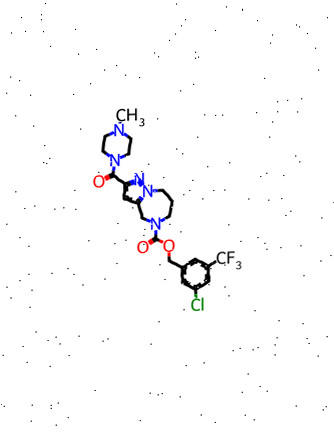 CN1CCN(C(=O)c2cc3n(n2)CCCN(C(=O)OCc2cc(Cl)cc(C(F)(F)F)c2)C3)CC1